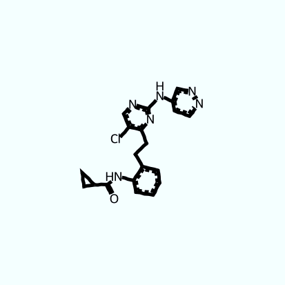 O=C(Nc1ccccc1CCc1nc(Nc2ccnnc2)ncc1Cl)C1CC1